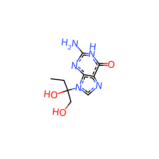 CCC(O)(CO)n1cnc2c(=O)[nH]c(N)nc21